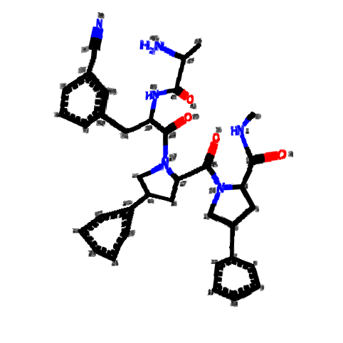 CNC(=O)C1CC(c2ccccc2)CN1C(=O)C1CC(c2ccccc2)CN1C(=O)C(Cc1cccc(C#N)c1)NC(=O)C(C)N